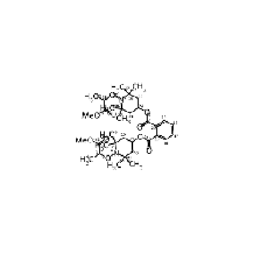 COC(=O)C(C)ON1C(C)(C)CC(OC(=O)c2ccccc2C(=O)OC2CC(C)(C)N(OC(C)C(=O)OC)C(C)(C)C2)CC1(C)C